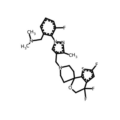 Cc1nn(-c2c(F)cccc2CN(C)C)cc1CN1CCC2(CC1)OCC(F)(F)c1cc(F)sc12